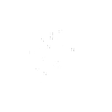 CCc1cc2c(cc1Nc1ncc(C(F)(F)F)c(-c3cc4c(s3)C(=O)N(C3CC3)CCS4(=O)=O)n1)CCN(CC1CC1)C2